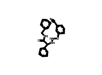 N#Cc1cccc(ONNC(C(=O)NCc2ccccc2)c2ccccc2)c1